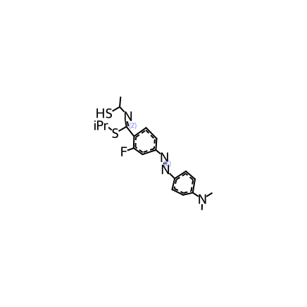 CC(S)/N=C(\SC(C)C)c1ccc(/N=N/c2ccc(N(C)C)cc2)cc1F